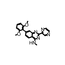 CNc1nc(-c2cnccn2)nc2cc(-c3c(OC)cccc3OC)ccc12